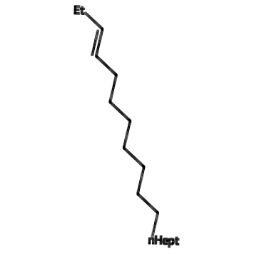 CCC=CCCCCCCCCCCCCCC